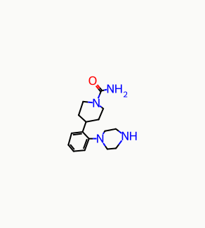 NC(=O)N1CCC(c2ccccc2N2CCNCC2)CC1